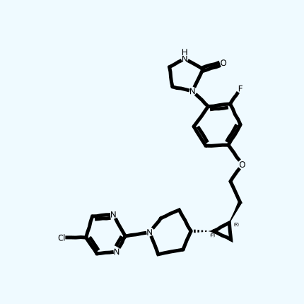 O=C1NCCN1c1ccc(OCC[C@H]2C[C@@H]2C2CCN(c3ncc(Cl)cn3)CC2)cc1F